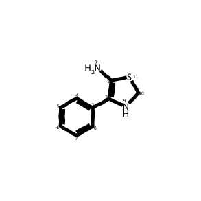 NC1=C(c2ccccc2)NCS1